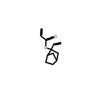 C=CC(=O)OC1(C=C)CC2CCC1C2